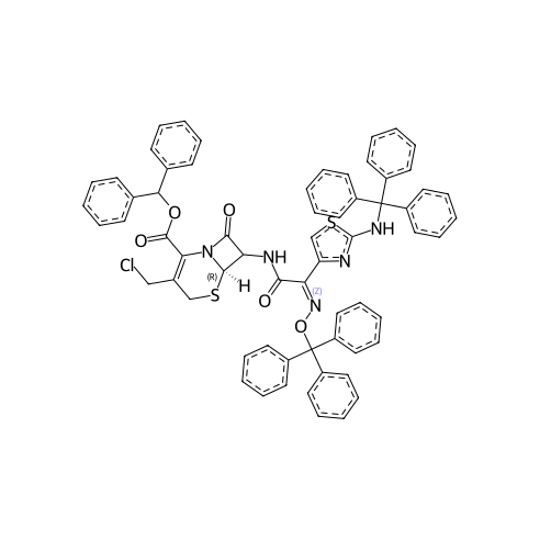 O=C(OC(c1ccccc1)c1ccccc1)C1=C(CCl)CS[C@@H]2C(NC(=O)/C(=N\OC(c3ccccc3)(c3ccccc3)c3ccccc3)c3csc(NC(c4ccccc4)(c4ccccc4)c4ccccc4)n3)C(=O)N12